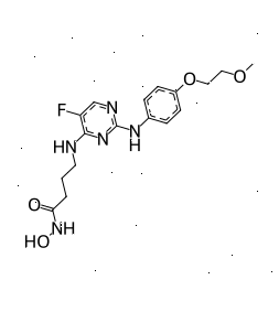 COCCOc1ccc(Nc2ncc(F)c(NCCCC(=O)NO)n2)cc1